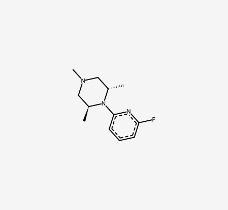 C[C@H]1CN(C)C[C@H](C)N1c1cccc(F)n1